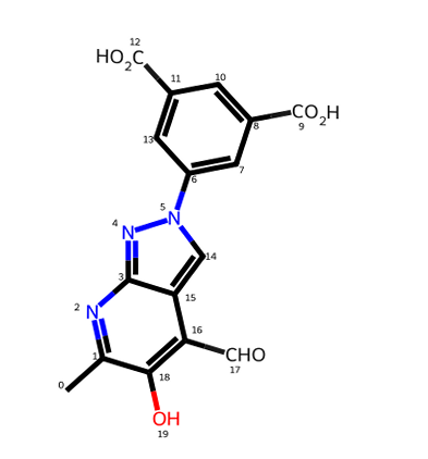 Cc1nc2nn(-c3cc(C(=O)O)cc(C(=O)O)c3)cc2c(C=O)c1O